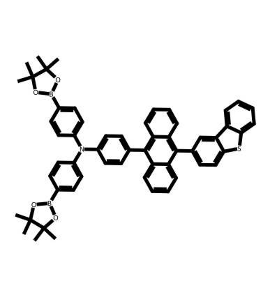 CC1(C)OB(c2ccc(N(c3ccc(B4OC(C)(C)C(C)(C)O4)cc3)c3ccc(-c4c5ccccc5c(-c5ccc6sc7ccccc7c6c5)c5ccccc45)cc3)cc2)OC1(C)C